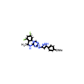 COc1ccc(-c2cc(Nc3ncnc(NC(C)c4ccc(F)cc4F)n3)n[nH]2)cc1